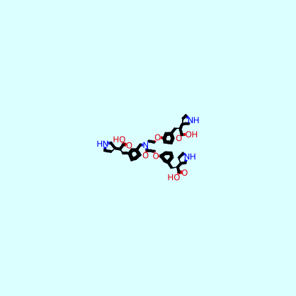 O=C(O)[C@@H](Cc1cccc(CN(CCOc2cccc(C[C@H](C(=O)O)[C@H]3CCNC3)c2)C(=O)COc2cccc(C[C@H](C(=O)O)[C@H]3CCNC3)c2)c1)[C@H]1CCNC1